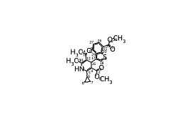 COC(=O)C1=C(C2CC2)NC(C)=C(C(C)=O)C1c1csc2c(C(=O)OC)cccc12